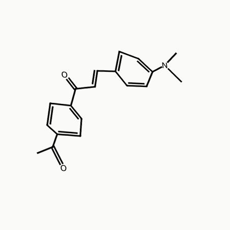 CC(=O)c1ccc(C(=O)C=Cc2ccc(N(C)C)cc2)cc1